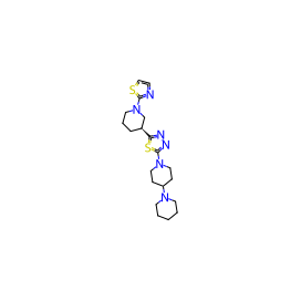 c1csc(N2CCC[C@H](c3nnc(N4CCC(N5CCCCC5)CC4)s3)C2)n1